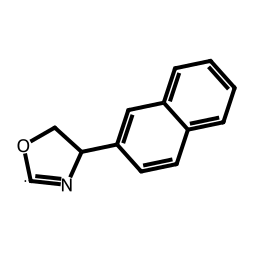 [C]1=NC(c2ccc3ccccc3c2)CO1